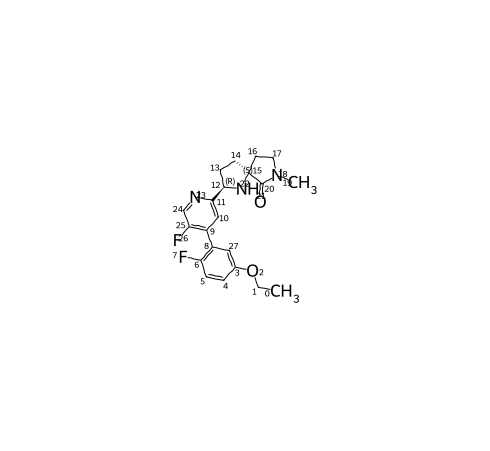 CCOc1ccc(F)c(-c2cc([C@H]3CC[C@@]4(CCN(C)C4=O)N3)ncc2F)c1